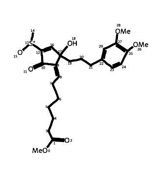 COC(=O)CCCCCC=C1C(=O)C([S+](C)[O-])=CC1(O)CCCc1ccc(OC)c(OC)c1